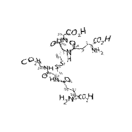 N[C@H](CCC(=O)N[C@H](CSSC[C@H](NC(=O)CC[C@H](N)C(=O)O)C(=O)NCC(=O)O)C(=O)NCC(=O)O)C(=O)O